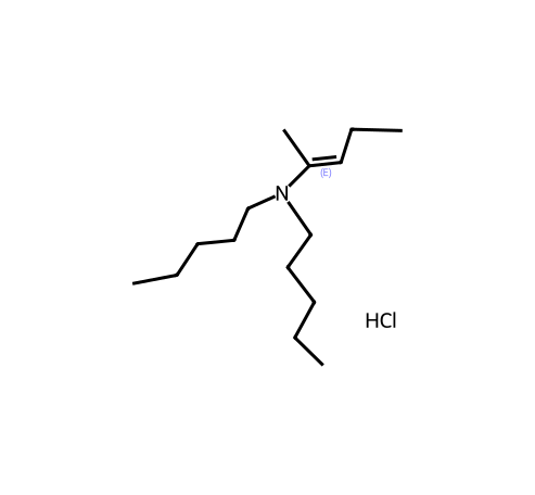 CC/C=C(\C)N(CCCCC)CCCCC.Cl